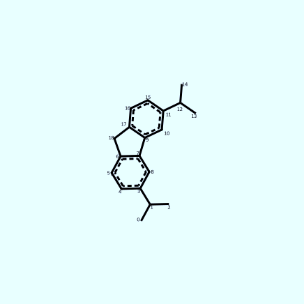 CC(C)c1c[c]c2c(c1)-c1cc(C(C)C)ccc1C2